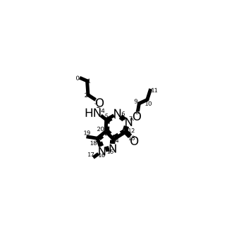 CCCONc1nn(OCCC)c(=O)c2nn(C)c(C)c12